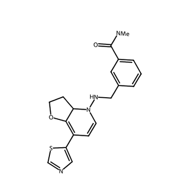 CNC(=O)c1cccc(CNN2C=CC(c3cncs3)=C3OCCC32)c1